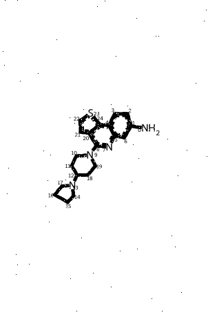 Nc1ccc2c(c1)nc(N1CCC(N3CCCC3)CC1)c1ccsc12